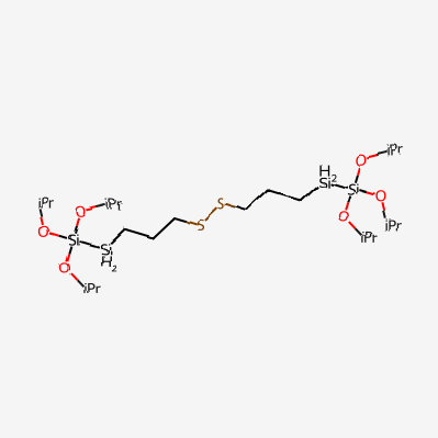 CC(C)O[Si](OC(C)C)(OC(C)C)[SiH2]CCCSSCCC[SiH2][Si](OC(C)C)(OC(C)C)OC(C)C